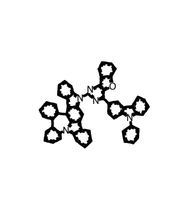 c1ccc(-n2c3ccccc3c3cc(-c4nc(-n5c6ccccc6c6c7c8c(cc65)c5ccccc5n8-c5ccccc5-c5ccccc5-7)nc5c4oc4ccccc45)ccc32)cc1